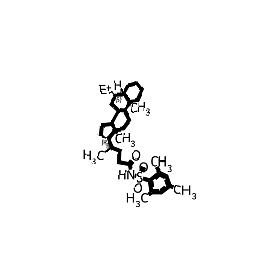 CC[C@H]1CC2C3CC[C@H]([C@H](C)CCC(=O)NS(=O)(=O)c4c(C)cc(C)cc4C)[C@@]3(C)CCC2[C@@]2(C)CCCC[C@@H]12